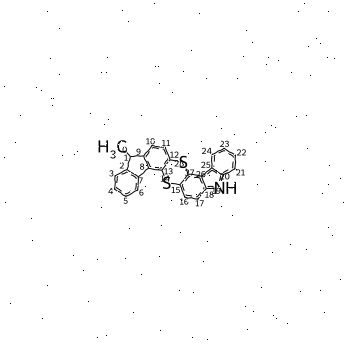 CC1c2ccccc2-c2c1ccc1c2Sc2ccc3[nH]c4ccccc4c3c2S1